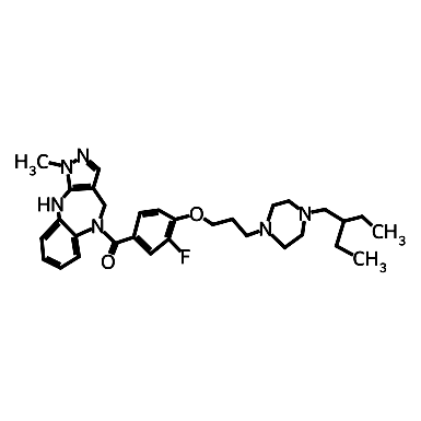 CCC(CC)CN1CCN(CCCOc2ccc(C(=O)N3Cc4cnn(C)c4Nc4ccccc43)cc2F)CC1